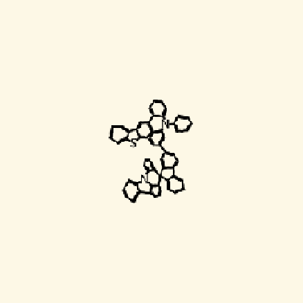 c1ccc(N(c2cccc(-c3ccc4c(c3)C3(c5ccccc5-4)c4ccccc4-n4c5ccccc5c5cccc3c54)c2)c2ccccc2-c2ccc3sc4ccccc4c3c2)cc1